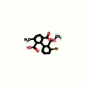 COCc1c(Br)cccc1-c1c(C(=O)O)ccc(C)c1C(=O)O